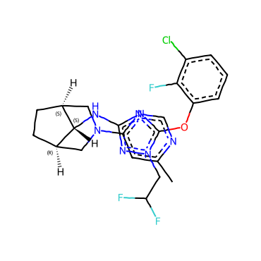 Cc1cc(N2C[C@H]3CC[C@@H](C2)[C@@H]3Nc2nc(Oc3cccc(Cl)c3F)n(CC(F)F)n2)ncn1